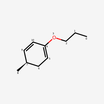 CCCOC1=CC[C@@H](C)C=C1